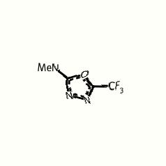 CNc1nnc(C(F)(F)F)o1